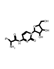 CC(C)C(N)C(=O)Nc1ccn(C2OC(CO)C(O)C2O)c(=O)n1